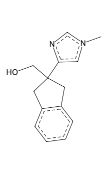 Cn1cnc(C2(CO)Cc3ccccc3C2)c1